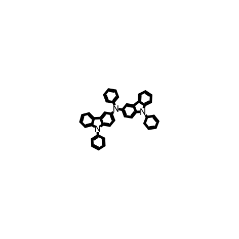 C1=CCC(n2c3ccccc3c3cc(N(c4ccccc4)c4ccc5c(c4)c4ccccc4n5-c4ccccc4)ccc32)C=C1